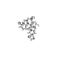 CCN(CCC(C)NCc1cc2c(cn1)OCS2)C[C@@H]1Cn2c(=O)ccc3ccc(=O)n1c32